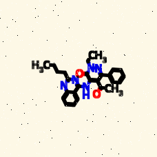 CCCCc1nc(Nc2c(C(C)=O)c(-c3ccccc3)nn(CC)c2=O)c2ccccc2n1